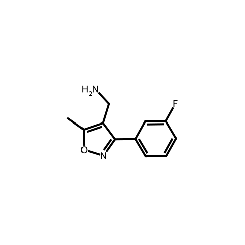 Cc1onc(-c2cccc(F)c2)c1CN